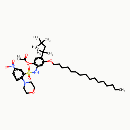 CCCCCCCCCCCCCCCCOc1cc(NS(=O)(=O)c2cc([N+](=O)[O-])ccc2N2CCOCC2)c(OC(C)=O)cc1C(C)(C)CC(C)(C)C